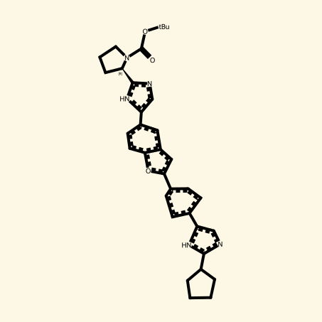 CC(C)(C)OC(=O)N1CCC[C@@H]1c1ncc(-c2ccc3oc(-c4ccc(-c5cnc(C6CCCC6)[nH]5)cc4)cc3c2)[nH]1